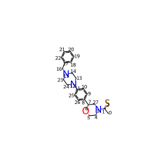 CC(=S)N1CCOC(c2ccc(N3CCN(Cc4ccccc4)CC3)cc2)C1